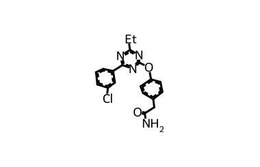 CCc1nc(Oc2ccc(CC(N)=O)cc2)nc(-c2cccc(Cl)c2)n1